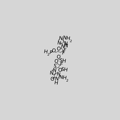 Nc1nc2c(ncn2[C@@H]2SC(OC(S)OC[C@@H]3[C@@H](COP)O[C@@H](n4nnc5c(N)ncnc54)C3(F)F)[C@H](F)[C@H]2OS)c(=O)[nH]1